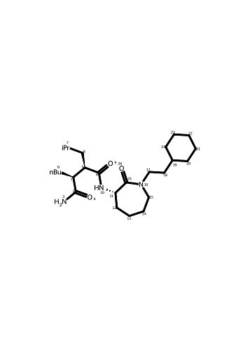 CCCC[C@H](C(N)=O)[C@@H](CC(C)C)C(=O)N[C@H]1CCCCN(CCC2CCCCC2)C1=O